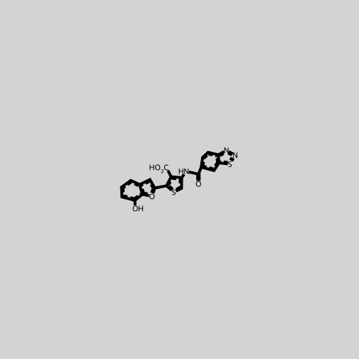 O=C(Nc1csc(-c2cc3cccc(O)c3o2)c1C(=O)O)c1ccc2nnsc2c1